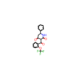 O=C1CC(c2ccccc2)NC(=O)C1C(=O)c1ccccc1OC(F)(F)F